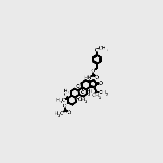 COc1ccc(COC(=O)N[C@@]23CC[C@]4(C)[C@H](CCC5[C@@]6(C)CC[C@H](OC(C)=O)C(C)(C)C6CC[C@]54C)C2=C(C(C)C)C(=O)C3)cc1